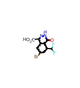 O=C(O)c1n[nH]c(=O)c2c(C(F)F)cc(Br)cc12